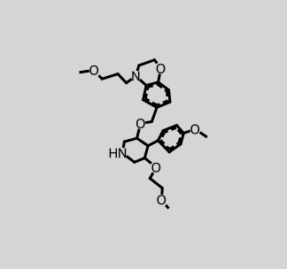 COCCCN1CCOc2ccc(COC3CNCC(OCCOC)C3c3ccc(OC)cc3)cc21